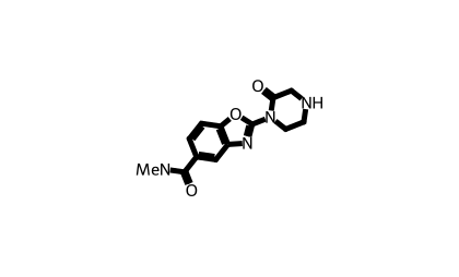 CNC(=O)c1ccc2oc(N3CCNCC3=O)nc2c1